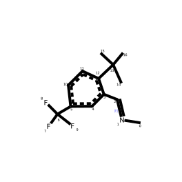 C/N=C/c1cc(C(F)(F)F)ccc1C(C)(C)C